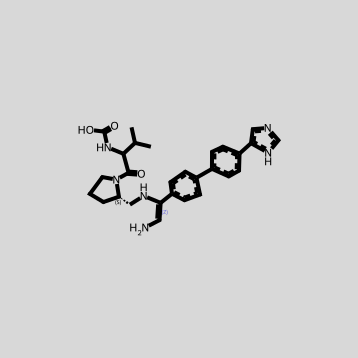 CC(C)C(NC(=O)O)C(=O)N1CCC[C@H]1CN/C(=C\N)c1ccc(-c2ccc(-c3cnc[nH]3)cc2)cc1